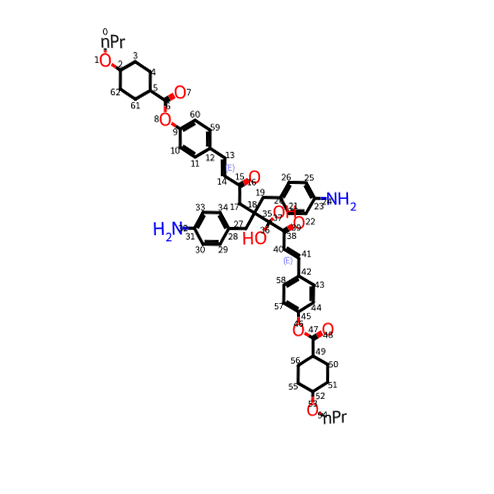 CCCOC1CCC(C(=O)Oc2ccc(/C=C/C(=O)CC(Cc3ccc(N)cc3)(Cc3ccc(N)cc3)C(O)(O)C(=O)/C=C/c3ccc(OC(=O)C4CCC(OCCC)CC4)cc3)cc2)CC1